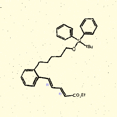 CCOC(=O)/C=C/C=C/c1ccccc1CCCCCO[Si](c1ccccc1)(c1ccccc1)C(C)(C)C